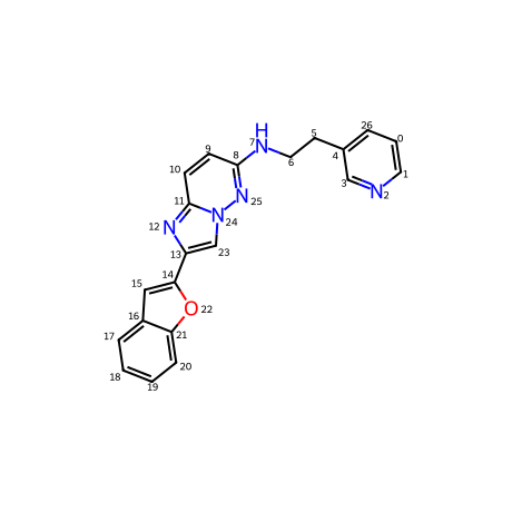 c1cncc(CCNc2ccc3nc(-c4cc5ccccc5o4)cn3n2)c1